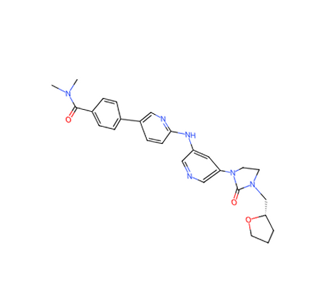 CN(C)C(=O)c1ccc(-c2ccc(Nc3cncc(N4CCN(C[C@@H]5CCCO5)C4=O)c3)nc2)cc1